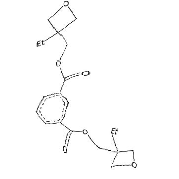 CCC1(COC(=O)c2cccc(C(=O)OCC3(CC)COC3)c2)COC1